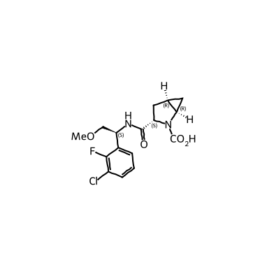 COC[C@@H](NC(=O)[C@@H]1C[C@H]2C[C@H]2N1C(=O)O)c1cccc(Cl)c1F